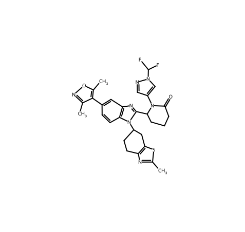 Cc1nc2c(s1)CC(n1c(C3CCCC(=O)N3c3cnn(C(F)F)c3)nc3cc(-c4c(C)noc4C)ccc31)CC2